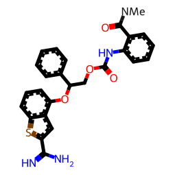 CNC(=O)c1ccccc1NC(=O)OCC(Oc1cccc2sc(C(=N)N)cc12)c1ccccc1